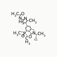 CCP(=O)(CC)c1cc(-c2sc(NC(C)=O)nc2C)cc2c1C(=O)N(C(C)C1CC1)C2